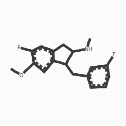 CNC1Cc2cc(F)c(OC)cc2C1Cc1cccc(F)c1